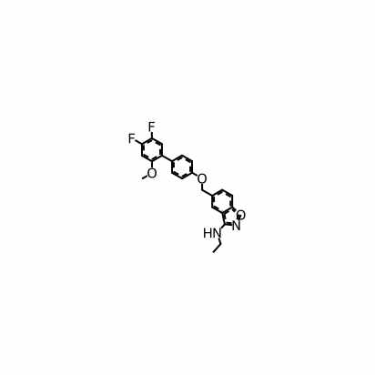 CCNc1noc2ccc(COc3ccc(-c4cc(F)c(F)cc4OC)cc3)cc12